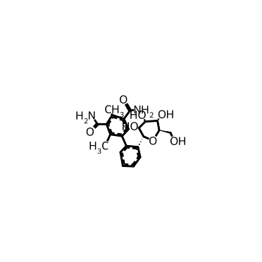 Cc1c(C(N)=O)cc(-c2ccccc2[C@H]2O[C@H](CO)[C@@H](O)[C@H](O)[C@@H]2O)c(C)c1C(N)=O